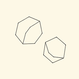 C1CC2CCC(C1)CC2.C1CC2CCC1CC2